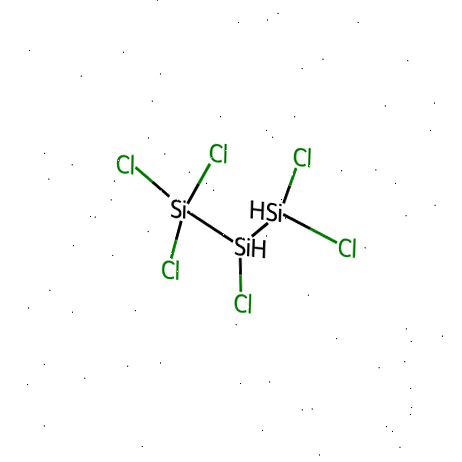 Cl[SiH](Cl)[SiH](Cl)[Si](Cl)(Cl)Cl